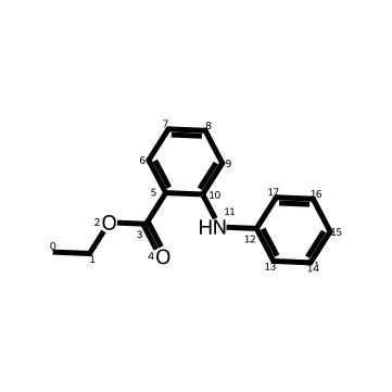 CCOC(=O)c1ccccc1Nc1c[c]ccc1